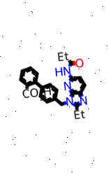 CCC(=O)Nc1ccc2nc(CC)n(Cc3ccc(-c4ccccc4C(=O)O)cc3)c2n1